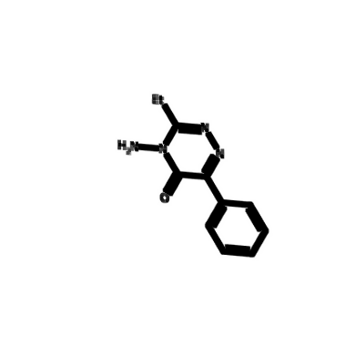 CCc1nnc(-c2ccccc2)c(=O)n1N